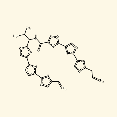 C=CCc1nc(-c2nc(-c3nc(C(=O)NC(c4nc(-c5nc(-c6nc(C=C)co6)co5)co4)C(C)C)co3)co2)co1